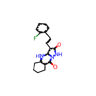 O=c1[nH]n2c(=O)c3c([nH]c2c1C=Cc1ccccc1F)CCCC3